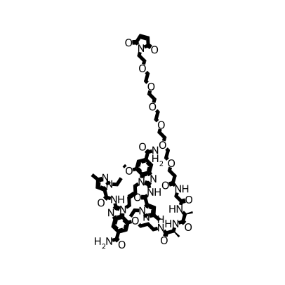 CCn1nc(C)cc1C(=O)Nc1nc2cc(C(N)=O)cc(OC)c2n1C/C=C/Cn1c(NC(=O)c2cc(C)nn2CC)nc2cc(C(N)=O)cc(OCCCNC(=O)[C@H](C)NC(=O)[C@H](C)NC(=O)CNC(=O)CCOCCOCCOCCOCCOCCOCCN3C(=O)C=CC3=O)c21